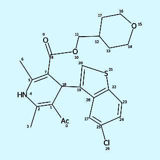 CC(=O)C1=C(C)NC(C)=C(C(=O)OCC2CCOCC2)C1c1csc2ccc(Cl)cc12